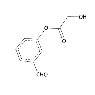 O=Cc1cccc(OC(=O)CO)c1